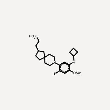 COc1cc(F)c(N2CCC3(CCC(CCC(=O)O)C3)CC2)cc1OC1CCC1